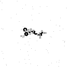 Cc1ccc(NC(=O)Nc2ncc(CCSc3nc(C(=O)O)c[nH]3)s2)c(N2CCCCC2)c1